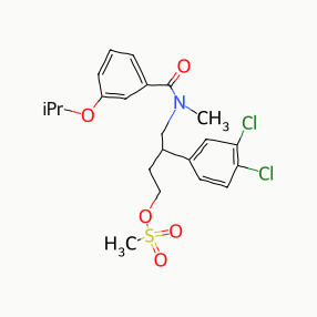 CC(C)Oc1cccc(C(=O)N(C)CC(CCOS(C)(=O)=O)c2ccc(Cl)c(Cl)c2)c1